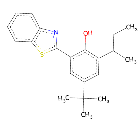 CCC(C)c1cc(C(C)(C)C)cc(-c2nc3ccccc3s2)c1O